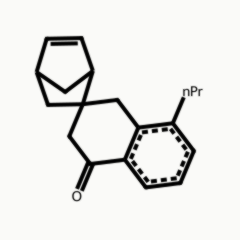 CCCc1cccc2c1CC1(CC2=O)CC2C=CC1C2